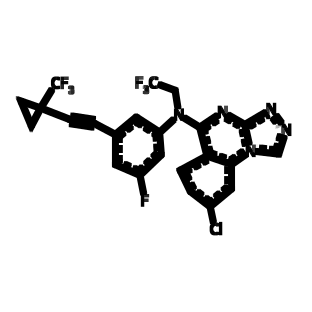 Fc1cc(C#CC2(C(F)(F)F)CC2)cc(N(CC(F)(F)F)c2nc3nncn3c3cc(Cl)ccc23)c1